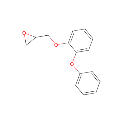 c1ccc(Oc2ccccc2OCC2CO2)cc1